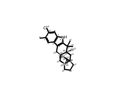 Cc1cc2c3c([nH]c2cc1Cl)C(C)(C)[C@@H]1C[C@]24CCCN2C[C@@]1(C3)NC4=O